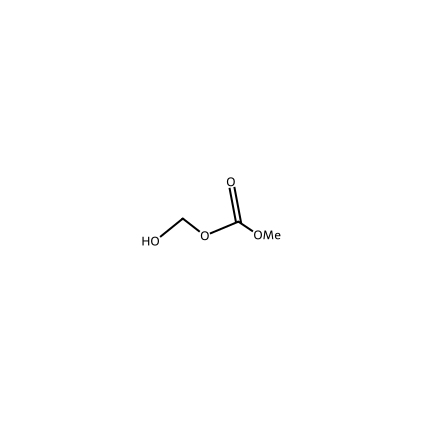 COC(=O)OCO